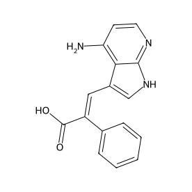 Nc1ccnc2[nH]cc(/C=C(/C(=O)O)c3ccccc3)c12